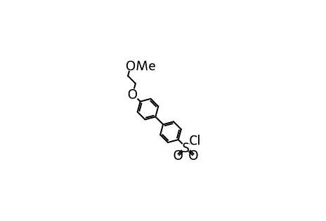 COCCOc1ccc(-c2ccc(S(=O)(=O)Cl)cc2)cc1